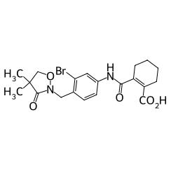 CC1(C)CON(Cc2ccc(NC(=O)C3=C(C(=O)O)CCCC3)cc2Br)C1=O